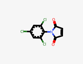 O=C1C=CC(=O)N1c1c(Cl)cc(Cl)cc1Cl